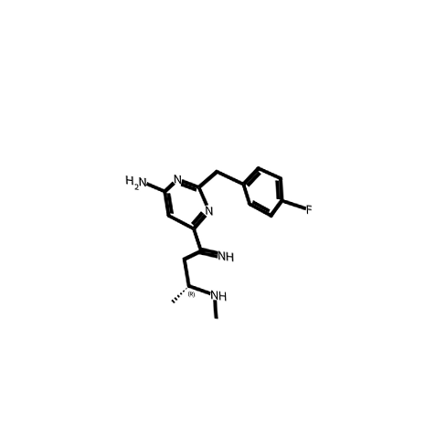 CN[C@H](C)CC(=N)c1cc(N)nc(Cc2ccc(F)cc2)n1